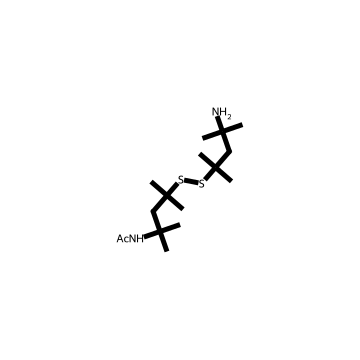 CC(=O)NC(C)(C)CC(C)(C)SSC(C)(C)CC(C)(C)N